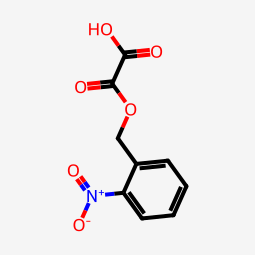 O=C(O)C(=O)OCc1ccccc1[N+](=O)[O-]